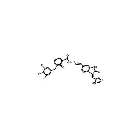 O=C1Nc2cc(/C=C/CNC(=O)c3cccn(Cc4cc(F)c(F)c(F)c4)c3=O)ccc2/C1=C/c1cnc[nH]1